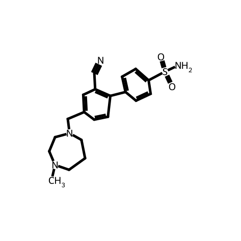 CN1CCCN(Cc2ccc(-c3ccc(S(N)(=O)=O)cc3)c(C#N)c2)CC1